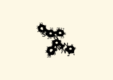 c1ccc2nc3c(nc2c1)c1cc(-n2c4ccccc4c4cc5c(cc42)sc2ccccc25)cc2c4ccccc4n3c21